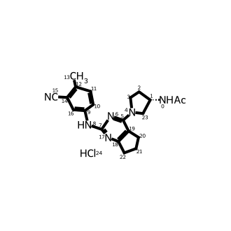 CC(=O)N[C@H]1CCN(c2nc(Nc3ccc(C)c(C#N)c3)nc3c2CCC3)C1.Cl